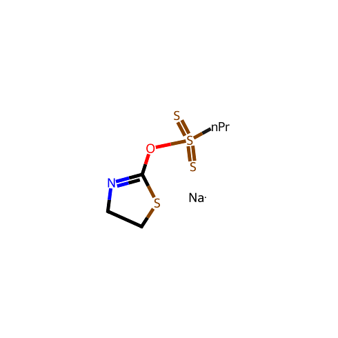 CCCS(=S)(=S)OC1=NCCS1.[Na]